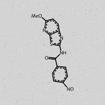 COc1ccc2nc(NC(=O)c3ccc(N=O)cc3)sc2n1